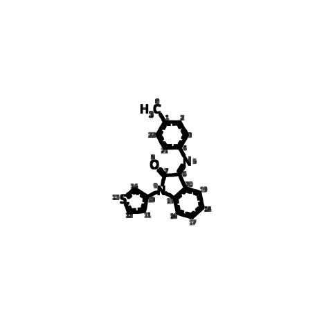 Cc1ccc(N=C2C(=O)N(c3ccsc3)c3ccccc32)cc1